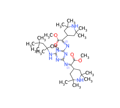 COC(=O)/C(=N\c1nc(/N=C(\C(=O)OC)C2CC(C)(C)NC(C)(C)C2)nc(NC(C)(C)CC(C)(C)C)n1)C1CC(C)(C)NC(C)(C)C1